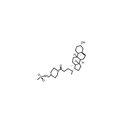 CC(CCC(=O)N1CCC(CNS(C)(=O)=O)CC1)[C@H]1CC[C@H]2[C@@H]3CC=C4C[C@@H](O)CC[C@]4(C)[C@H]3CC[C@]12C